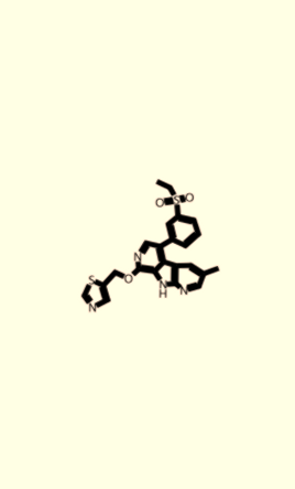 CCS(=O)(=O)c1cccc(-c2cnc(OCc3cncs3)c3[nH]c4ncc(C)cc4c23)c1